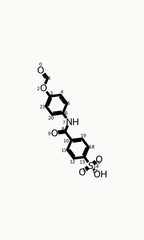 O=COc1ccc(NC(=O)c2ccc(S(=O)(=O)O)cc2)cc1